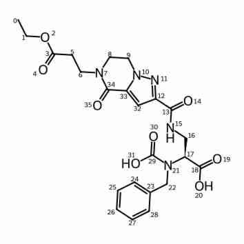 CCOC(=O)CCN1CCn2nc(C(=O)NC[C@@H](C(=O)O)N(Cc3ccccc3)C(=O)O)cc2C1=O